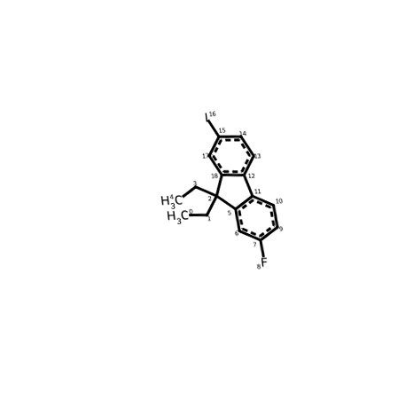 CCC1(CC)c2cc(F)ccc2-c2ccc(I)cc21